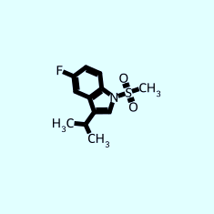 CC(C)c1cn(S(C)(=O)=O)c2ccc(F)cc12